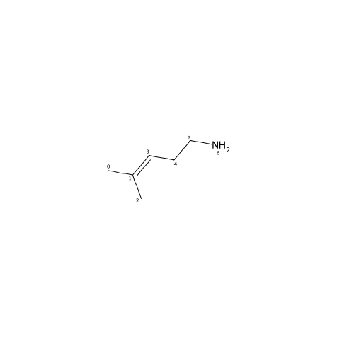 CC(C)=CCCN